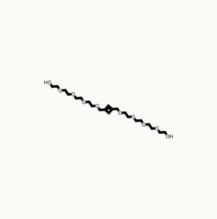 OCCOCCOCCOCCOCC12CC(COCCOCCOCCOCCO)(C1)C2